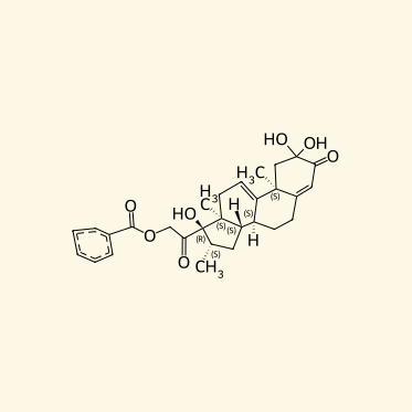 C[C@H]1C[C@H]2[C@@H]3CCC4=CC(=O)C(O)(O)C[C@]4(C)C3=CC[C@]2(C)[C@@]1(O)C(=O)COC(=O)c1ccccc1